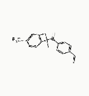 C=Cc1ccc(BC2(C)Cc3cc(C(F)(F)F)ccc32)cc1